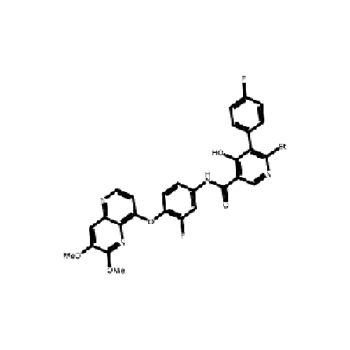 CCc1ncc(C(=O)Nc2ccc(Oc3ccnc4cc(OC)c(OC)nc34)c(F)c2)c(O)c1-c1ccc(F)cc1